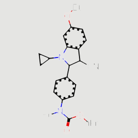 CCOc1ccc2c(c1)N(C1CC1)C(c1ccc(N(CC)C(=O)OC(C)C)cc1)C2C#N